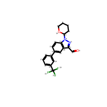 O=Cc1nn(C2CCCCO2)c2ccc(-c3cccc(C(F)(F)F)c3)cc12